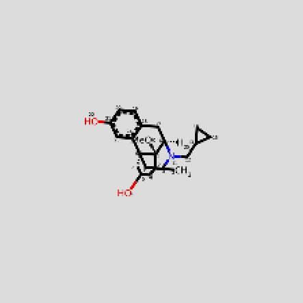 CO[C@@]12C(C)CC(O)C[C@@]13CCN(CC1CC1)[C@@H]2Cc1ccc(O)cc13